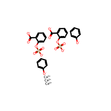 O=C([O-])c1ccccc1OS(=O)(=O)[O-].O=C([O-])c1ccccc1OS(=O)(=O)[O-].[Ca+2].[Ca+2].[Ca+2].[O-]c1ccccc1.[O-]c1ccccc1